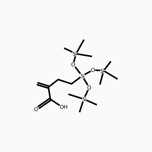 C=C(CC[Si](O[Si](C)(C)C)(O[Si](C)(C)C)O[Si](C)(C)C)C(=O)O